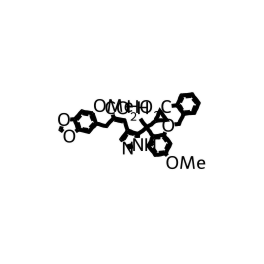 COc1ccc(C(C)(c2[nH]ncc2/C=C(\Cc2cc3c(cc2OC)OCO3)C(=O)O)C2CC2)c(OCc2ccccc2C(=O)O)c1